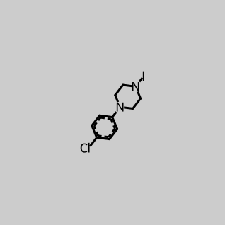 Clc1ccc(N2CCN(I)CC2)cc1